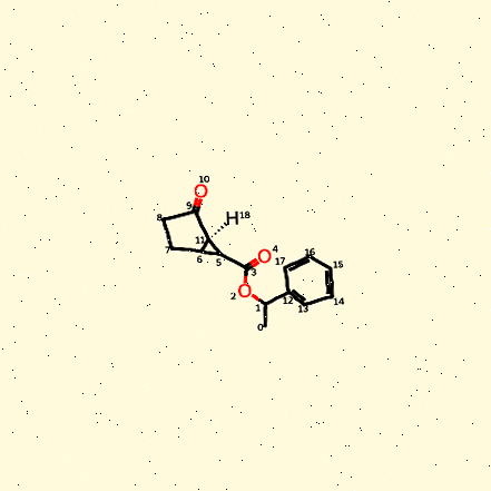 CC(OC(=O)C1C2CCC(=O)[C@H]21)c1ccccc1